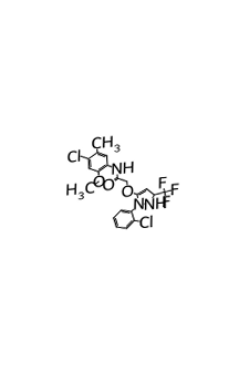 COc1cc(Cl)c(C)cc1NC(=O)COC1=CC(C(F)(F)F)NN1c1ccccc1Cl